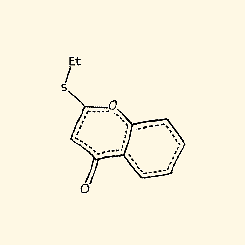 CCSc1cc(=O)c2ccccc2o1